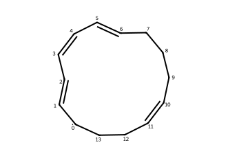 [CH]1/C=C/C=C\C=C\CCC/C=C\CC1